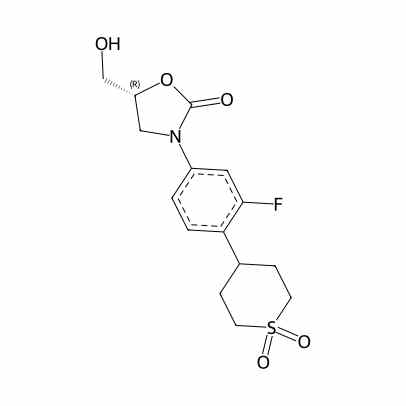 O=C1O[C@@H](CO)CN1c1ccc(C2CCS(=O)(=O)CC2)c(F)c1